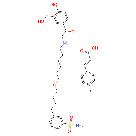 Cc1ccc(/C=C/C(=O)O)cc1.NS(=O)(=O)c1cccc(CCCCOCCCCCCNC[C@H](O)c2ccc(O)c(CO)c2)c1